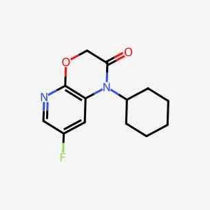 O=C1COc2ncc(F)cc2N1C1CCCCC1